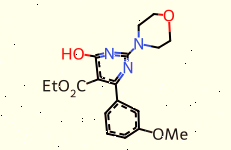 CCOC(=O)c1c(O)nc(N2CCOCC2)nc1-c1cccc(OC)c1